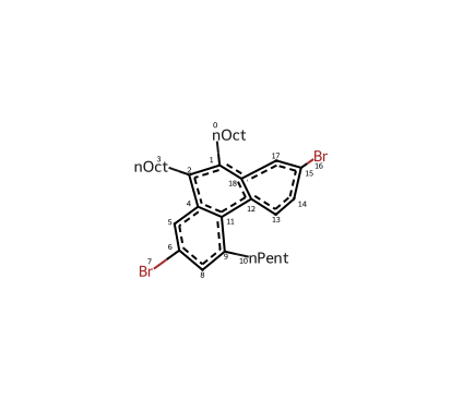 CCCCCCCCc1c(CCCCCCCC)c2cc(Br)cc(CCCCC)c2c2ccc(Br)cc12